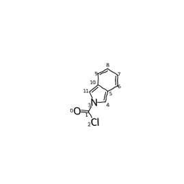 O=C(Cl)n1cc2ccccc2c1